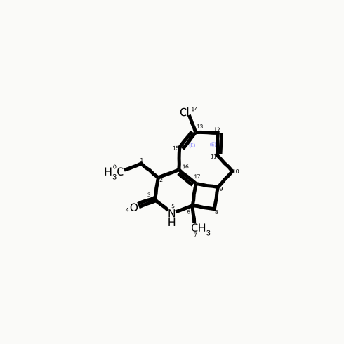 CCC1C(=O)NC2(C)CC3C/C=C/C(Cl)=C\C1=C32